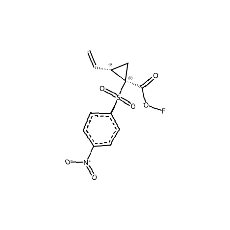 C=C[C@@H]1C[C@@]1(C(=O)OF)S(=O)(=O)c1ccc([N+](=O)[O-])cc1